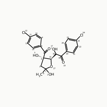 CC1(O)C[C@@](O)(C(=O)c2ccc(Cl)cc2)[C@@H](C(O)C(=O)c2ccc(Cl)cc2)O1